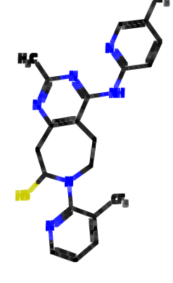 Cc1nc2c(c(Nc3ccc(C(F)(F)F)cn3)n1)CCN(c1ncccc1C(F)(F)F)C(S)C2